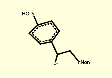 CCCCCCCCCCC(CC)c1ccc(S(=O)(=O)O)cc1